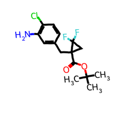 CC(C)(C)OC(=O)C1(Cc2ccc(Cl)c(N)c2)CC1(F)F